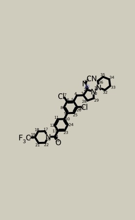 N#C/N=C1/C(Cc2c(Cl)cc(-c3ccc(C(=O)N4CCC(C(F)(F)F)CC4)cc3)cc2Cl)CCN1N1CCCCC1